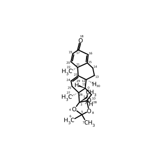 CC(=O)[C@]12OC(C)(C)O[C@@H]1C[C@H]1[C@@H]3CCC4=CC(=O)C=C[C@]4(C)C3=CC[C@@]12C